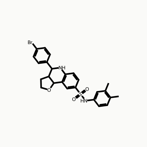 Cc1ccc(NS(=O)(=O)c2ccc3c(c2)C2OCCC2C(c2ccc(Br)cc2)N3)cc1C